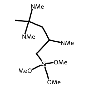 CNC(CC(C)(NC)NC)C[Si](OC)(OC)OC